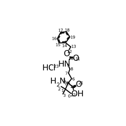 CC(C)(C)[C@@](N)(CCCNC(=O)OCc1ccccc1)C(=O)O.Cl